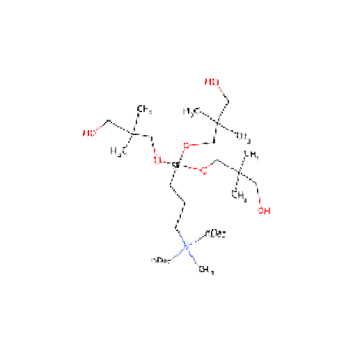 CCCCCCCCCC[N+](C)(CCCCCCCCCC)CCC[Si](OCC(C)(C)CO)(OCC(C)(C)CO)OCC(C)(C)CO